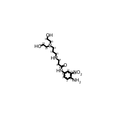 Nc1ccc(NC(=O)CCNCCCN(CCO)CCO)cc1[N+](=O)[O-]